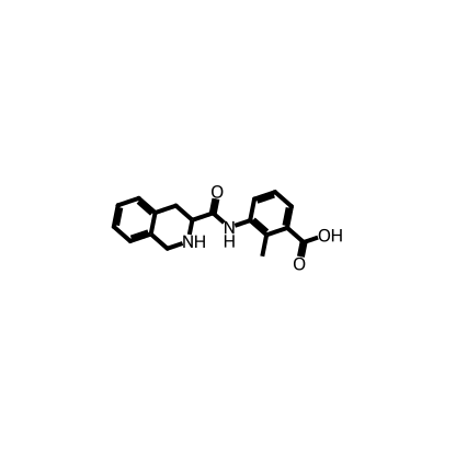 Cc1c(NC(=O)C2Cc3ccccc3CN2)cccc1C(=O)O